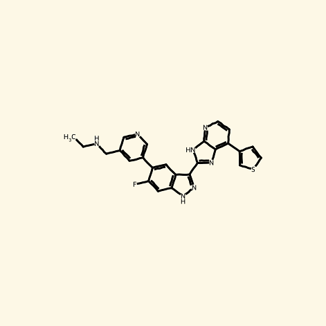 CCNCc1cncc(-c2cc3c(-c4nc5c(-c6ccsc6)ccnc5[nH]4)n[nH]c3cc2F)c1